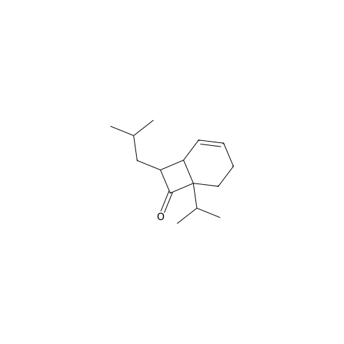 CC(C)CC1C(=O)C2(C(C)C)CCC=CC12